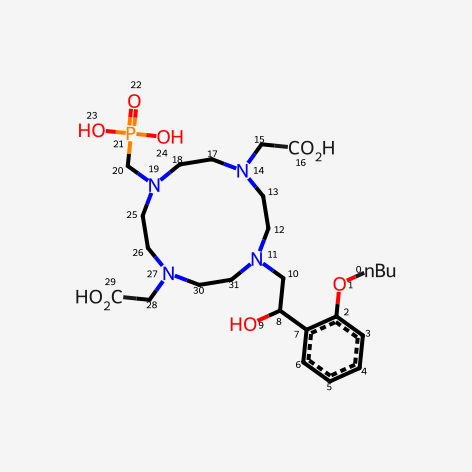 CCCCOc1ccccc1C(O)CN1CCN(CC(=O)O)CCN(CP(=O)(O)O)CCN(CC(=O)O)CC1